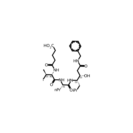 CCC[C@H](NC(=O)[C@@H](NC(=O)CCCC(=O)O)[C@H](C)I)C(=O)N[C@@H](CC(C)C)[C@@H](O)CC(=O)NCc1ccccc1